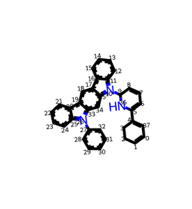 C1=CCCC(C2=CC=CC(n3c4ccccc4c4cc5c6ccccc6n(-c6ccccc6)c5cc43)N2)=C1